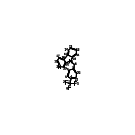 FC(F)(F)c1ccc(Cn2c3ccccc3c3ccncc32)cc1